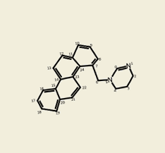 C1=NCCCN1Cc1cccc2ccc3c4ccccc4ccc3c12